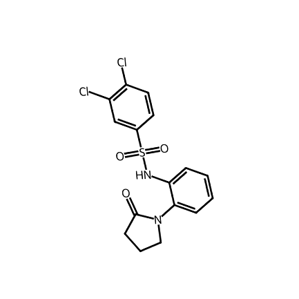 O=C1CCCN1c1ccccc1NS(=O)(=O)c1ccc(Cl)c(Cl)c1